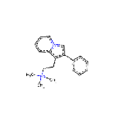 C[N+](C)(C)CCc1c(-c2ccccc2)cn2ccccc12